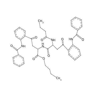 CCCCOC(=O)C(CC(=O)c1ccccc1NC(=O)c1ccccc1)NC(=O)C(CC(=O)c1ccccc1NC(=O)c1ccccc1)NC(=O)CCC